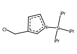 CC(C)[Si](C(C)C)(C(C)C)n1ccc(CCl)c1